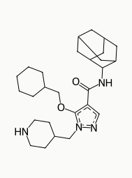 O=C(NC1C2CC3CC(C2)CC1C3)c1cnn(CC2CCNCC2)c1OCC1CCCCC1